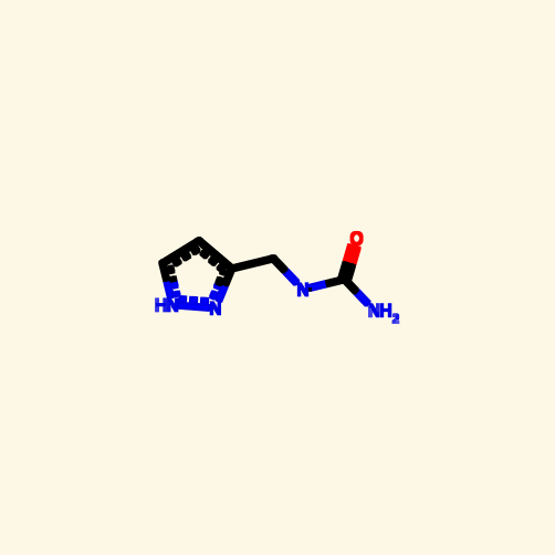 NC(=O)[N]Cc1cc[nH]n1